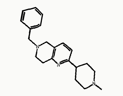 CN1CCC(c2ccc3c(n2)CCN(Cc2ccccc2)C3)CC1